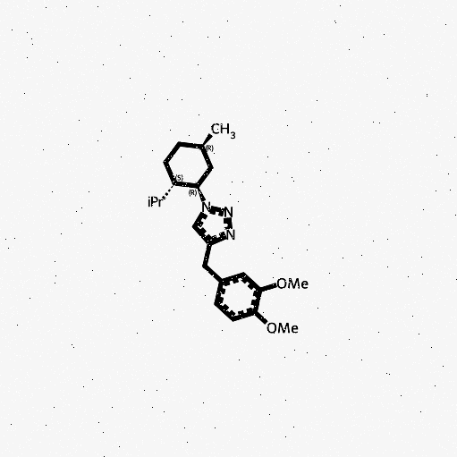 COc1ccc(Cc2cn([C@@H]3C[C@H](C)CC[C@H]3C(C)C)nn2)cc1OC